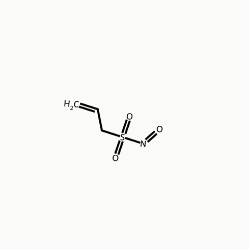 C=CCS(=O)(=O)N=O